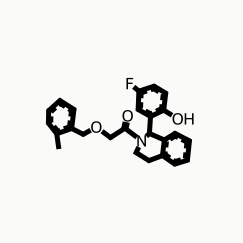 Cc1ccccc1COCC(=O)N1CCc2ccccc2C1c1cc(F)ccc1O